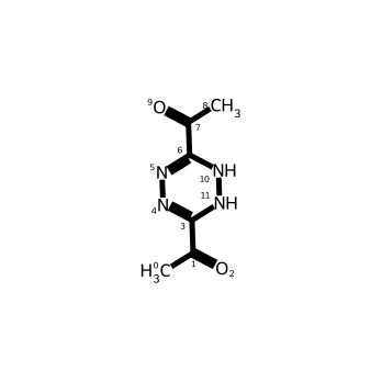 CC(=O)C1=NN=C(C(C)=O)NN1